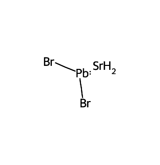 [Br][Pb][Br].[SrH2]